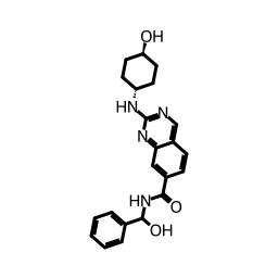 O=C(NC(O)c1ccccc1)c1ccc2cnc(N[C@H]3CC[C@H](O)CC3)nc2c1